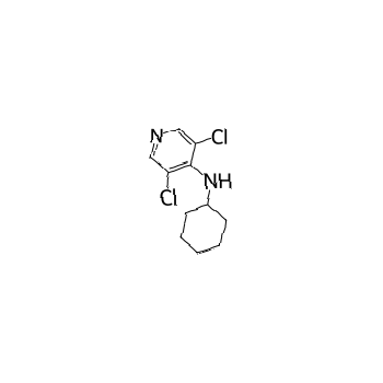 Clc1cncc(Cl)c1NC1CCCCC1